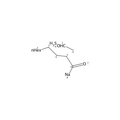 CC=O.CCCCCCCCC[C](=O)[Na].S